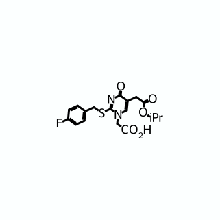 CC(C)OC(=O)Cc1cn(CC(=O)O)c(SCc2ccc(F)cc2)nc1=O